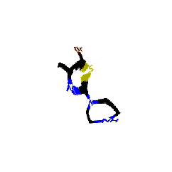 Cc1nc(N2CCNCC2)sc1Br